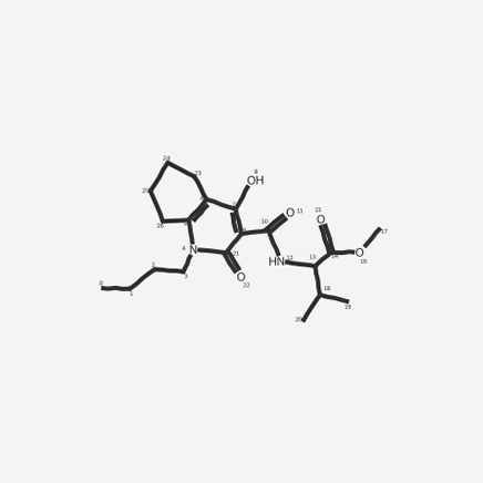 CCCCn1c2c(c(O)c(C(=O)NC(C(=O)OC)C(C)C)c1=O)CCCC2